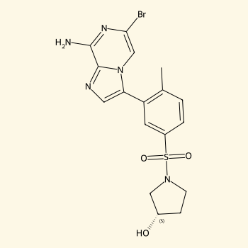 Cc1ccc(S(=O)(=O)N2CC[C@H](O)C2)cc1-c1cnc2c(N)nc(Br)cn12